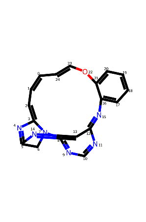 C1=C\C=C2\N=C3CN2c2ncn/c(c2=N3)=N/c2ccccc2O/C=C/1